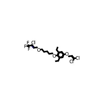 CCc1cc(OCC=C(Cl)Cl)cc(CC)c1OCCCCCOC/C=C(\Cl)C(F)(F)F